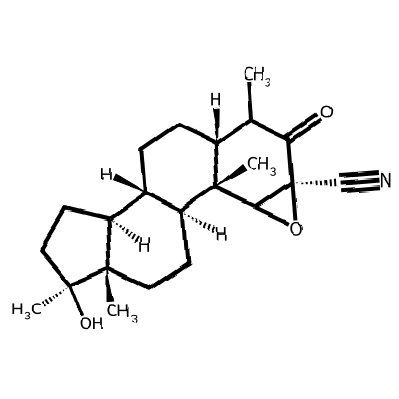 CC1C(=O)[C@@]2(C#N)OC2[C@@]2(C)[C@@H]1CC[C@@H]1[C@@H]2CC[C@@]2(C)[C@H]1CC[C@]2(C)O